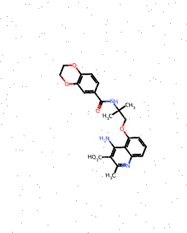 Cc1nc2cccc(OCC(C)(C)NC(=O)c3ccc4c(c3)OCCO4)c2c(N)c1C(=O)O